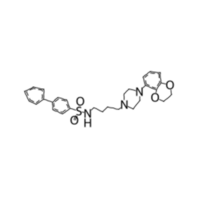 O=S(=O)(NCCCCN1CCN(c2cccc3c2OCCO3)CC1)c1ccc(-c2ccccc2)cc1